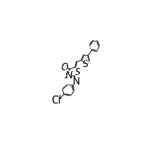 CN1C(=O)/C(=C/c2cc(-c3ccccc3)cs2)S/C1=N/c1ccc(Cl)cc1